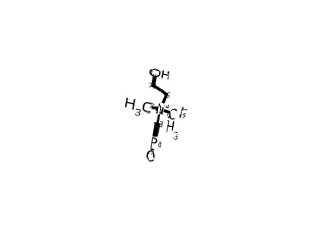 C[N+](C)(C#P=O)CCO.[I-]